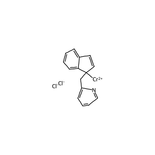 [Cl-].[Cl-].[Cr+2][C]1(Cc2ccccn2)C=Cc2ccccc21